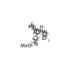 COCCC(=O)N1CCC(c2cc(Nc3cc(C(F)(F)F)ccn3)nc(N3CC(F)(F)C3)n2)CC1